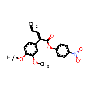 C=CC=C(C(=O)Oc1ccc([N+](=O)[O-])cc1)c1ccc(OC)c(OC)c1